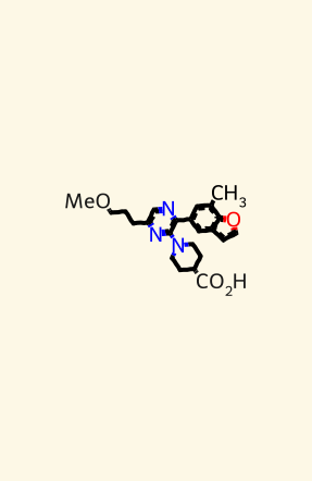 COCCCc1cnc(-c2cc(C)c3occc3c2)c(N2CCC(C(=O)O)CC2)n1